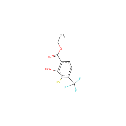 CCOC(=O)c1ccc(C(F)(F)F)c(S)c1O